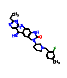 CCc1ncc(C(=N)c2cc3c(cc2N)NC(=O)N([C@@H]2CCCN(Cc4ccc(C)cc4F)C2)C3)cn1